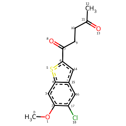 COc1cc2sc(C(=O)CCC(C)=O)cc2cc1Cl